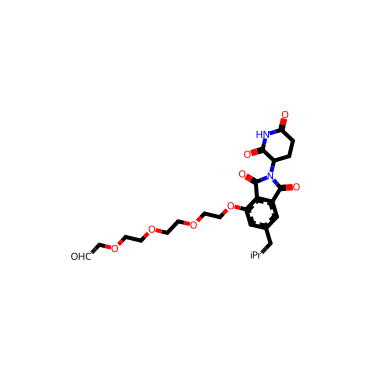 CC(C)Cc1cc(OCCOCCOCCOCC=O)c2c(c1)C(=O)N(C1CCC(=O)NC1=O)C2=O